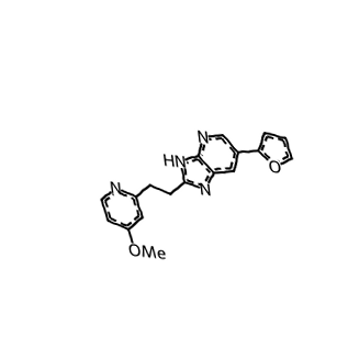 COc1ccnc(CCc2nc3cc(-c4ccco4)cnc3[nH]2)c1